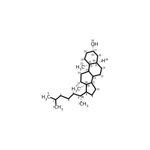 CC(C)CCC[C@@H](C)C1CCC2C3CC[C@@H]4C[C@@H](O)CC[C@]4(C)C3CC[C@@]21C